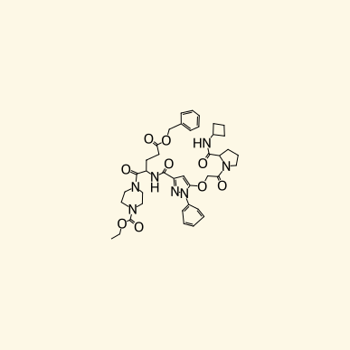 CCOC(=O)N1CCN(C(=O)C(CCC(=O)OCc2ccccc2)NC(=O)c2cc(OCC(=O)N3CCCC3C(=O)NC3CCC3)n(-c3ccccc3)n2)CC1